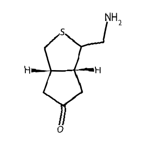 NCC1SC[C@H]2CC(=O)C[C@@H]12